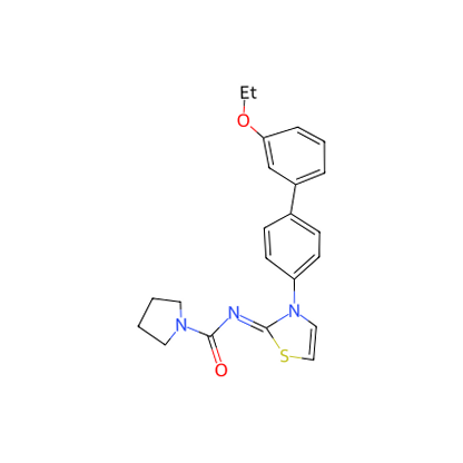 CCOc1cccc(-c2ccc(-n3ccsc3=NC(=O)N3CCCC3)cc2)c1